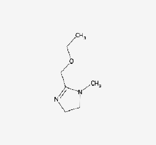 CCOCC1=NCCN1C